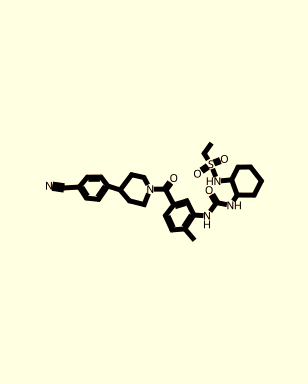 CCS(=O)(=O)NC1CCCCC1NC(=O)Nc1cc(C(=O)N2CCC(c3ccc(C#N)cc3)CC2)ccc1C